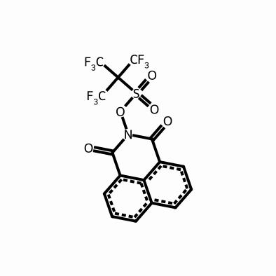 O=C1c2cccc3cccc(c23)C(=O)N1OS(=O)(=O)C(C(F)(F)F)(C(F)(F)F)C(F)(F)F